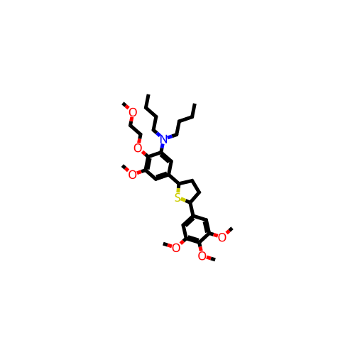 CCCCN(CCCC)c1cc(C2CCC(c3cc(OC)c(OC)c(OC)c3)S2)cc(OC)c1OCCOC